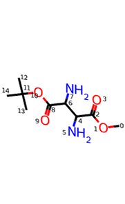 COC(=O)C(N)C(N)C(=O)OC(C)(C)C